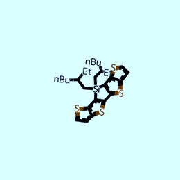 CCCCC(CC)C[Si]1(CC(CC)CCCC)c2c(sc3ccsc23)-c2sc3ccsc3c21